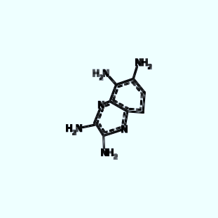 Nc1ccc2nc(N)c(N)nc2c1N